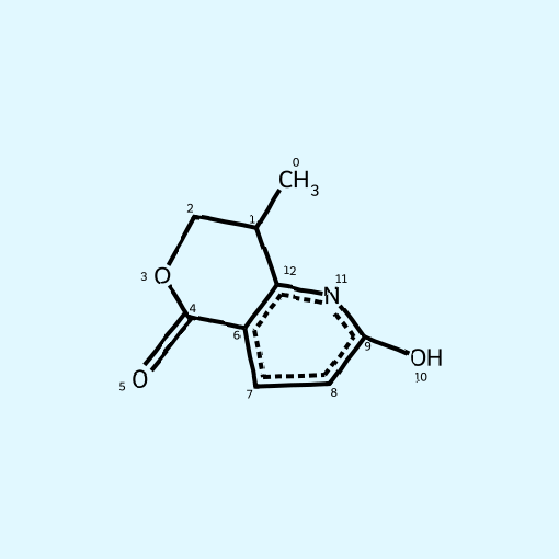 CC1COC(=O)c2ccc(O)nc21